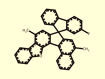 Cc1cc2c(c3ccccc13)-c1c(cc(C)c3c1oc1ccccc13)C21c2ccccc2-c2ccc(F)cc21